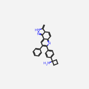 C=C1NN=C2c3cc(-c4ccccc4)c(-c4ccc(C5(N)CCC5)cc4)nc3C=CC12